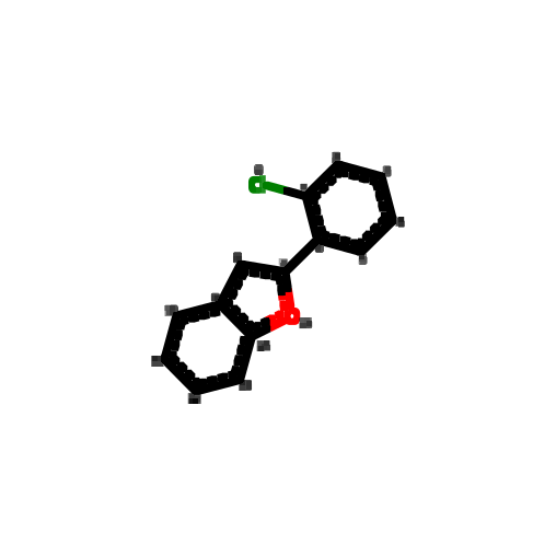 Clc1ccccc1-c1cc2ccccc2o1